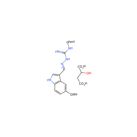 CCCCCNC(=N)N/N=C/c1c[nH]c2ccc(OC)cc12.O=C(O)CC(O)C(=O)O